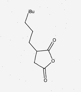 CCC(C)CCCC1CC(=O)OC1=O